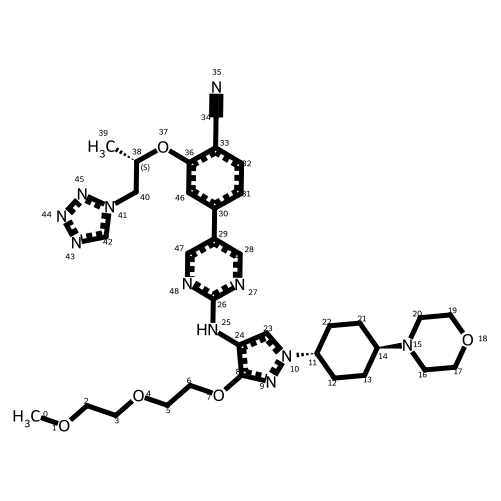 COCCOCCOc1nn([C@H]2CC[C@H](N3CCOCC3)CC2)cc1Nc1ncc(-c2ccc(C#N)c(O[C@@H](C)Cn3cnnn3)c2)cn1